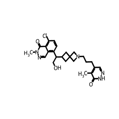 Cc1c(CCCN2CC3(CC(C(CO)c4ccc(Cl)c5c(=O)n(C)ncc45)C3)C2)cn[nH]c1=O